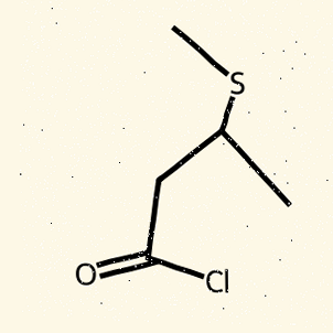 CSC(C)CC(=O)Cl